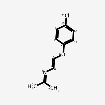 CC(C)=NC=COc1ccc(Cl)cc1